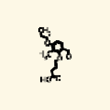 CCCOc1ccc(C=O)c(OCCCC(=O)O)c1C